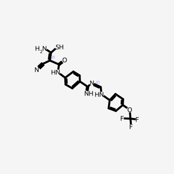 N#C/C(C(=O)Nc1ccc(C(=N)/N=C\Nc2ccc(OC(F)(F)F)cc2)cc1)=C(\N)S